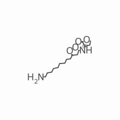 NCCCCCCCCCC(=O)CC(=O)N[C@@H]1CCOC1=O